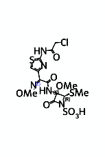 CO/N=C(\C(=O)N[C@]1(OC)C(=O)N(S(=O)(=O)O)[C@@H]1SC)c1csc(NC(=O)CCl)n1